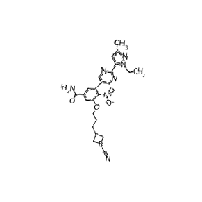 CCn1nc(C)cc1-c1ncc(-c2cc(C(N)=O)cc(OCCCC3CB(C#N)C3)c2[N+](=O)[O-])cn1